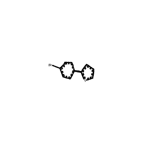 Brc1ccc(-c2cccs2)cc1